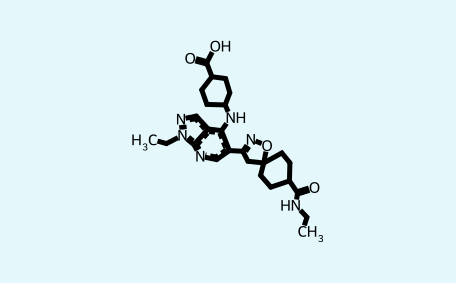 CCNC(=O)C1CCC2(CC1)CC(c1cnc3c(cnn3CC)c1NC1CCC(C(=O)O)CC1)=NO2